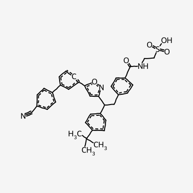 CC(C)(C)c1ccc(C(Cc2ccc(C(=O)NCCS(=O)(=O)O)cc2)c2cc(-c3cccc(-c4ccc(C#N)cc4)c3)on2)cc1